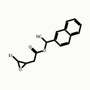 CCC1OC1CC(=O)OC(C#N)c1ccc2ccccc2c1